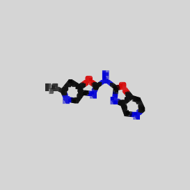 FC(F)(F)c1cc2oc(Nc3nc4cnccc4o3)nc2cn1